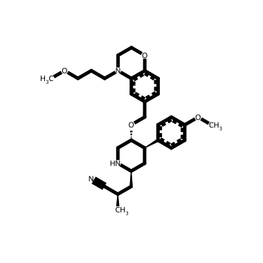 COCCCN1CCOc2ccc(CO[C@H]3CN[C@H](C[C@@H](C)C#N)C[C@@H]3c3ccc(OC)cc3)cc21